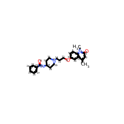 Cc1cc(=O)n(C)c2ccc(OCCCN3CCC(NC(=O)c4ccccc4)CC3)cc12